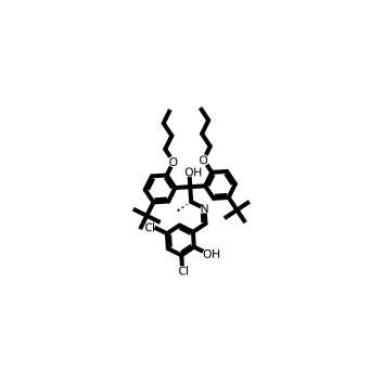 CCCCOc1ccc(C(C)(C)C)cc1C(O)(c1cc(C(C)(C)C)ccc1OCCCC)[C@@H](C)N=Cc1cc(Cl)cc(Cl)c1O